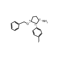 N[C@H]1CC[C@@H](OCc2ccccc2)[C@H]1c1ccc(F)cc1